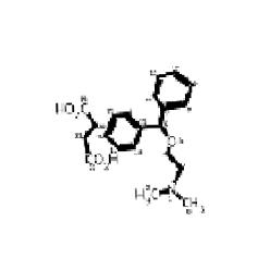 CN(C)CCOC(c1ccccc1)c1ccccc1.O=C(O)CCC(=O)O